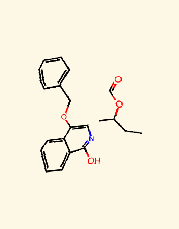 CCC(C)OC=O.Oc1ncc(OCc2ccccc2)c2ccccc12